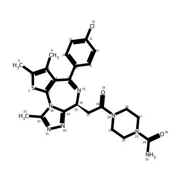 Cc1sc2c(c1C)C(c1ccc(Cl)cc1)=N[C@@H](CC(=O)N1CCN(C(N)=O)CC1)c1nnc(C)n1-2